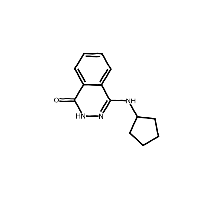 O=c1[nH]nc(NC2CCCC2)c2ccccc12